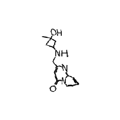 CC1(O)CC(NCc2cc(=O)n3ccccc3n2)C1